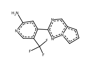 Nc1cc(-c2ncc3cccn3n2)c(C(F)(F)F)cn1